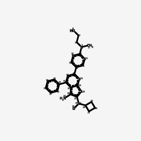 CN(CCO)c1ncc(-c2cc(-c3ccccc3)c3c(N)c([S+]([O-])C4CCC4)sc3n2)cn1